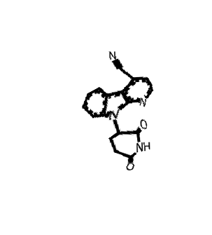 N#Cc1ccnc2c1c1ccccc1n2C1CCC(=O)NC1=O